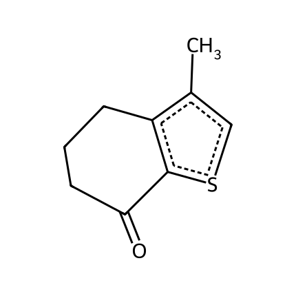 Cc1csc2c1CCCC2=O